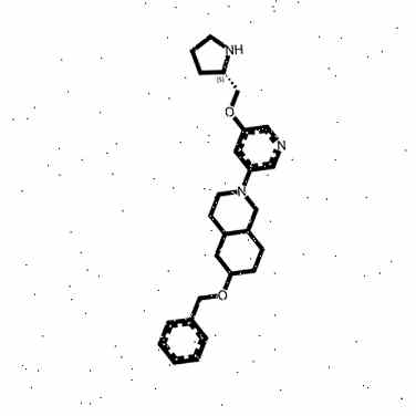 c1ccc(COC2CCC3CN(c4cncc(OC[C@@H]5CCCN5)c4)CCC3C2)cc1